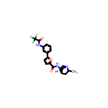 CC1CC2CCN1C[C@@H]2NC(=O)c1ccc(-c2cccc(NC(=O)C(F)(F)F)c2)o1